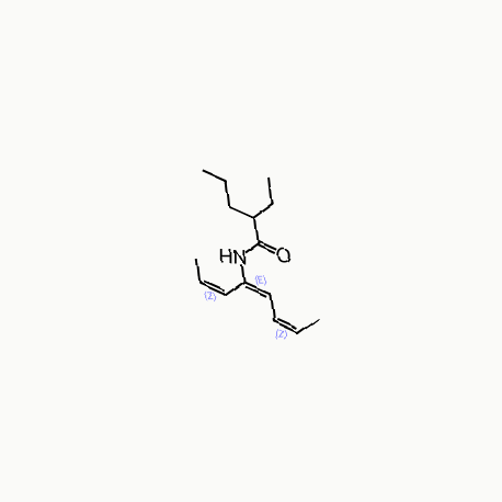 C\C=C/C=C(\C=C/C)NC(=O)C(CC)CCC